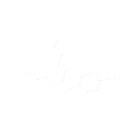 CCCCCC(CCCCC)Nc1ccc(C)cc1